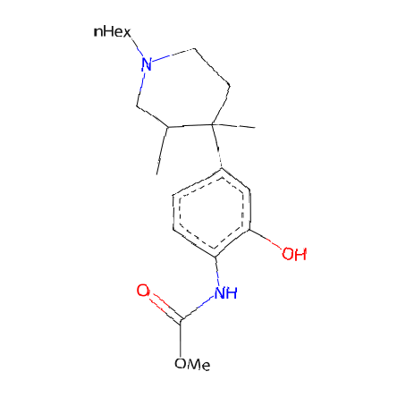 CCCCCCN1CCC(C)(c2ccc(NC(=O)OC)c(O)c2)C(C)C1